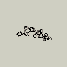 CC(C)S(=O)(=O)c1ccc(C(=O)Nc2ccc(Cl)c(-c3ncc(C4=CC=CCC4)[nH]3)c2)c(Cl)c1